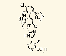 [2H]C1([2H])C(c2c(-n3cnnn3)ccc(Cl)c2F)=CC(=O)N2[C@H](c3ncc(-c4ccnc(C(=O)O)c4F)[nH]3)CC[C@@]21[2H]